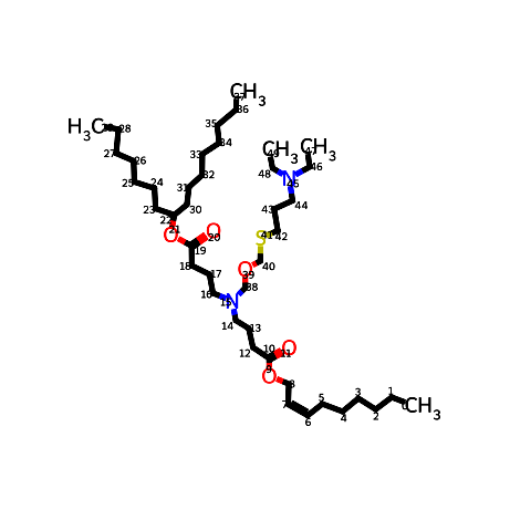 CCCCCC/C=C\COC(=O)CCCN(CCCC(=O)OC(CCCCCCC)CCCCCCCC)COCSCCCN(CC)CC